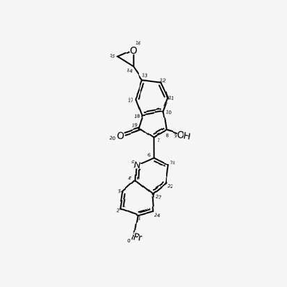 CC(C)c1ccc2nc(C3=C(O)c4ccc(C5CO5)cc4C3=O)ccc2c1